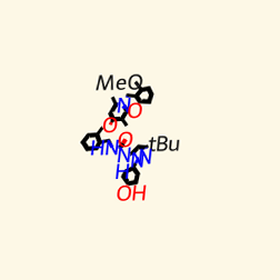 COc1ccccc1Cn1c(C)cc(OCc2ccccc2CNC(=O)Nc2cc(C(C)(C)C)nn2-c2ccc(O)cc2)c(C)c1=O